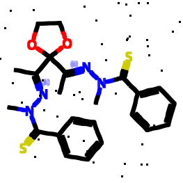 C/C(=N\N(C)C(=S)c1ccccc1)C1(/C(C)=N/N(C)C(=S)c2ccccc2)OCCO1